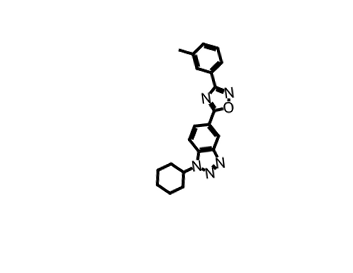 Cc1cccc(-c2noc(-c3ccc4c(c3)nnn4C3CCCCC3)n2)c1